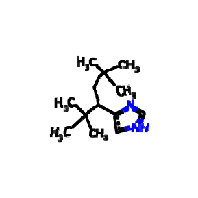 CC(C)(C)CC(c1c[nH]cn1)C(C)(C)C